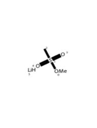 COS(C)(=O)=O.[LiH]